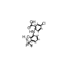 Cc1c(Nc2ccc(Cl)cc2C(=O)O)cccc1C(F)(F)F